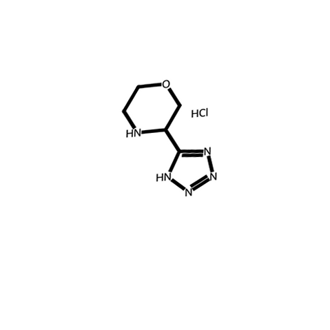 C1COCC(c2nnn[nH]2)N1.Cl